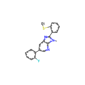 CCSc1ccccc1-c1nc2cc(-c3ccccc3F)cnc2n1C